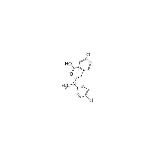 CN(CCc1ccc(Cl)cc1C(=O)O)c1ccc(Cl)cn1